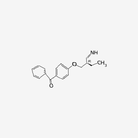 CC[C@H](C=N)COc1ccc(C(=O)c2ccccc2)cc1